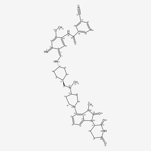 COC1=CC(=N)/C(=C\N[C@H]2CC[C@H](CN(C)C3CCN(c4cccc5c4n(C)c(=O)n5C4CCC(=O)NC4=O)CC3)CC2)C=C1NC(=O)c1cncc(C#N)c1